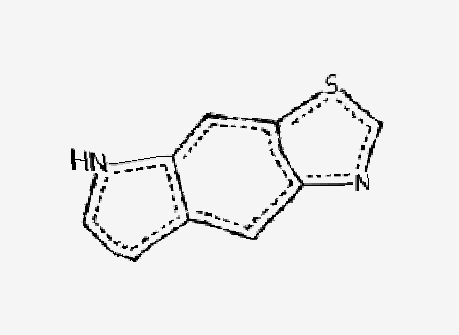 c1cc2cc3ncsc3cc2[nH]1